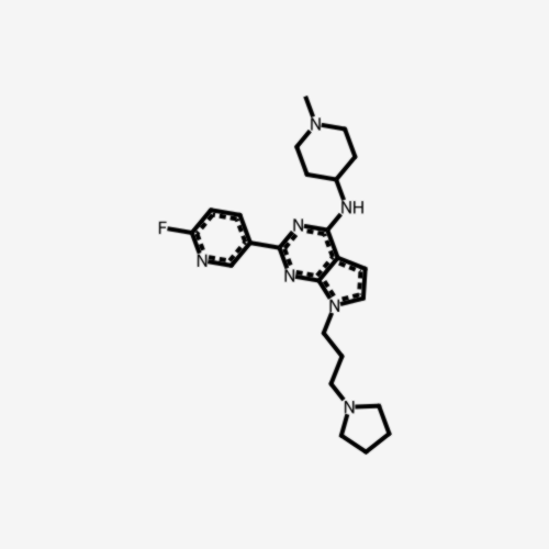 CN1CCC(Nc2nc(-c3ccc(F)nc3)nc3c2ccn3CCCN2CCCC2)CC1